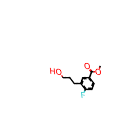 COC(=O)c1ccc(F)c(CCCO)c1